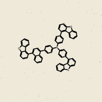 c1ccc2c(c1)oc1cccc(-c3ccc(N(c4ccc(-c5ccc(-c6cccc7oc8ccccc8c67)c6ccccc56)cc4)c4ccc(-c5cccc6sc7ccccc7c56)cc4)cc3)c12